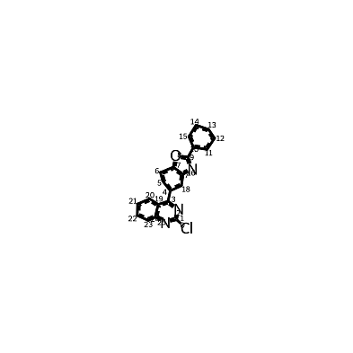 Clc1nc(-c2ccc3oc(-c4ccccc4)nc3c2)c2ccccc2n1